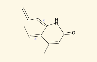 C=C/C=c1/[nH]c(=O)cc(C)/c1=C/C